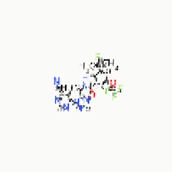 C[C@H](NC(=O)c1cc(OC(F)(F)F)cc(C(C)(C)F)c1)c1ncnn1-c1cc(C#N)ncn1